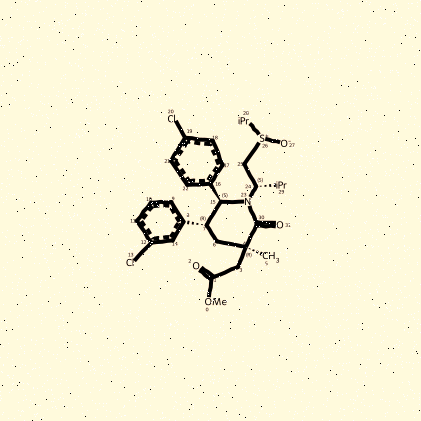 COC(=O)C[C@@]1(C)C[C@H](c2cccc(Cl)c2)[C@@H](c2ccc(Cl)cc2)N([C@H](C[S+]([O-])C(C)C)C(C)C)C1=O